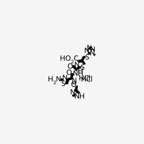 Cl.Cl.Cn1nnnc1SCC1=C(C(=O)O)N2C(=O)[C@@H](NC(=O)C(=NOCc3c[nH]cn3)c3csc(N)n3)[C@@H]2SC1